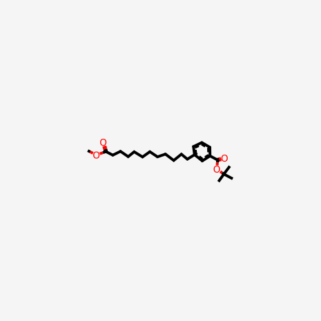 COC(=O)CCCCCCCCCCCc1cccc(C(=O)OC(C)(C)C)c1